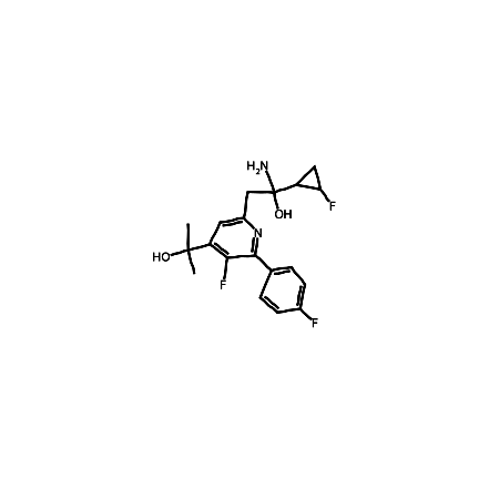 CC(C)(O)c1cc(CC(N)(O)C2CC2F)nc(-c2ccc(F)cc2)c1F